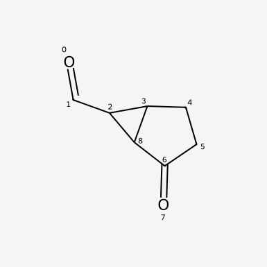 O=CC1C2CCC(=O)C12